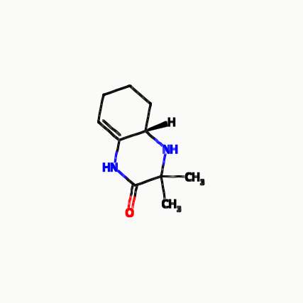 CC1(C)N[C@H]2CCCC=C2NC1=O